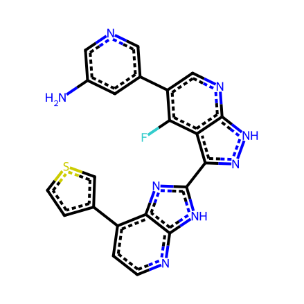 Nc1cncc(-c2cnc3[nH]nc(-c4nc5c(-c6ccsc6)ccnc5[nH]4)c3c2F)c1